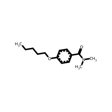 CCCCCOc1ccc(C(=O)N(C)C)cc1